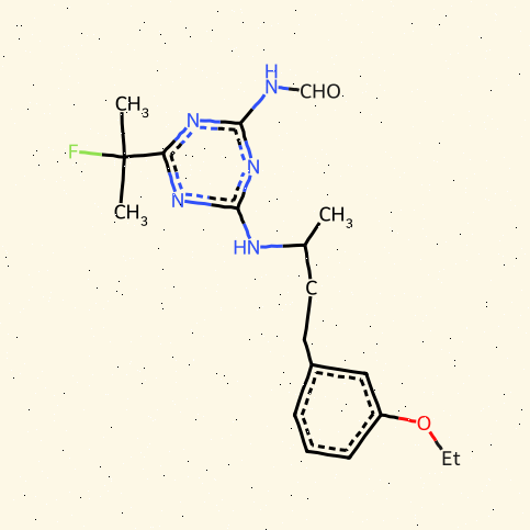 CCOc1cccc(CCC(C)Nc2nc(NC=O)nc(C(C)(C)F)n2)c1